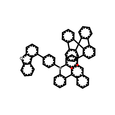 c1ccc(N(c2ccc(-c3cccc4c3C3(c5ccccc5-c5ccccc53)c3ccccc3-4)cc2)c2ccc(-c3cccc4oc5ccccc5c34)cc2)c(-c2cccc3ccccc23)c1